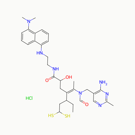 CCC(CC(S)S)C(CC(O)C(=O)NCCNc1cccc2c(N(C)C)cccc12)=C(C)N(C=O)Cc1cnc(C)nc1N.Cl